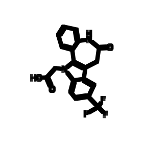 O=C(O)Cn1c2c(c3cc(C(F)(F)F)ccc31)CC(=O)Nc1ccccc1-2